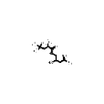 CC(C)CC(C)CNC(=O)C(C)CC(C)(C)C